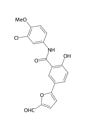 COc1ccc(NC(=O)c2cc(-c3ccc(C=O)o3)ccc2O)cc1Cl